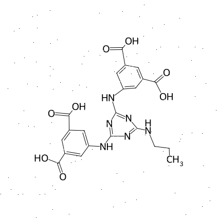 CCCNc1nc(Nc2cc(C(=O)O)cc(C(=O)O)c2)nc(Nc2cc(C(=O)O)cc(C(=O)O)c2)n1